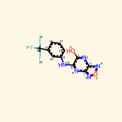 Oc1nc2nonc2nc1Nc1cccc(C(F)(F)F)c1